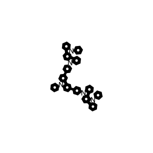 c1ccc(-n2c3ccc(-c4ccc(-n5c6ccccc6c6c5ccc5c7ccccc7n(-c7ccccc7)c56)cc4)cc3c3cc(-c4ccc(-n5c6ccccc6c6c5ccc5c7ccccc7n(-c7ccccc7)c56)cc4)ccc32)cc1